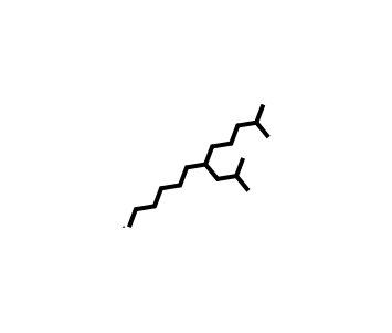 [CH2]CCCCCC(CCCC(C)C)CC(C)C